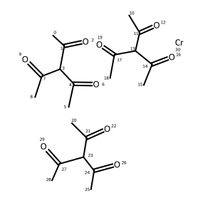 CC(=O)C(C(C)=O)C(C)=O.CC(=O)C(C(C)=O)C(C)=O.CC(=O)C(C(C)=O)C(C)=O.[Cr]